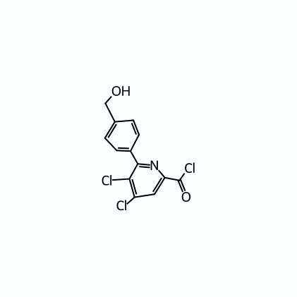 O=C(Cl)c1cc(Cl)c(Cl)c(-c2ccc(CO)cc2)n1